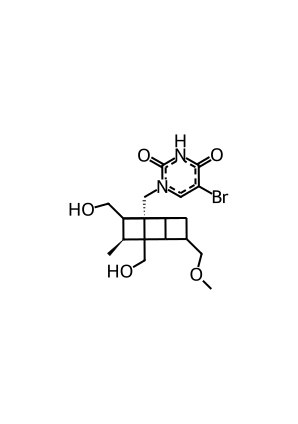 COCC1C2C3C1C1(CO)[C@H](C)C2(CO)[C@]31Cn1cc(Br)c(=O)[nH]c1=O